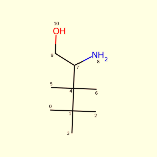 CC(C)(C)C(C)(C)C(N)CO